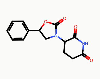 O=C1CCC(N2CC(c3ccccc3)OC2=O)C(=O)N1